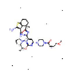 COC/C=C\C(=O)N1CCN(c2cc(-c3noc([C@@]4(C)CCCc5sc(N)c(C#N)c54)n3)nc(O[C@@H](C)[C@@H]3CCCN3C)n2)CC1